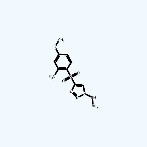 BBn1cc(S(=O)(=O)c2ccc(OC)cc2C)nn1